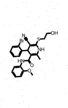 COc1ccccc1NC(=O)C1=C(C)NC(SCCO)=C(C#N)C1c1ccccc1Br